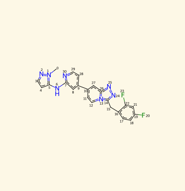 Cn1nccc1Nc1cc(-c2ccn3c(Cc4ccc(F)cc4F)nnc3c2)ccn1